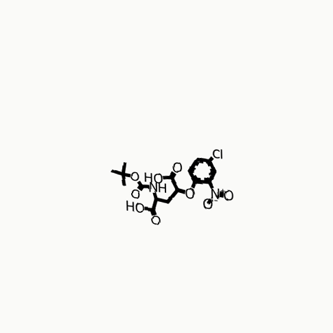 CC(C)(C)OC(=O)NC(CC(Oc1ccc(Cl)cc1[N+](=O)[O-])C(=O)O)C(=O)O